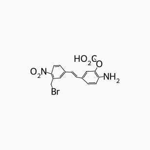 Nc1ccc(C=Cc2ccc([N+](=O)[O-])c(CBr)c2)cc1OC(=O)O